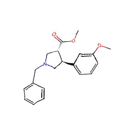 COC(=O)[C@H]1CN(Cc2ccccc2)C[C@@H]1c1cccc(OC)c1